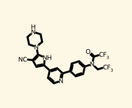 N#Cc1cc(-c2ccnc(-c3ccc(N(CC(F)(F)F)C(=O)C(F)(F)F)cc3)c2)[nH]c1N1CCNCC1